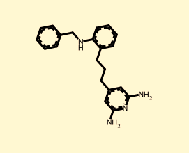 Nc1cc(CCCc2ccccc2NCc2ccccc2)cc(N)n1